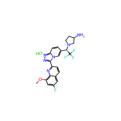 COc1cc(F)cc2ccc(-c3nnc4ccc([C@@H](N5CCC(N)C5)C(F)(F)F)cn34)nc12.Cl